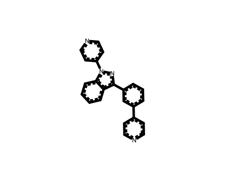 c1cc(-c2ccncc2)cc(-c2nn(-c3ccncc3)c3ccccc23)c1